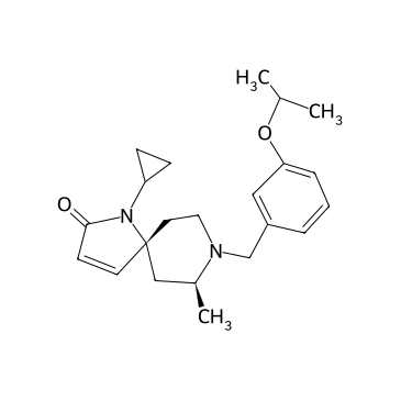 CC(C)Oc1cccc(CN2CC[C@]3(C=CC(=O)N3C3CC3)C[C@@H]2C)c1